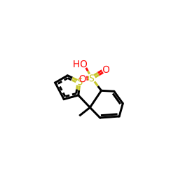 CC1(c2cccs2)C=CC=CC1S(=O)(=O)O